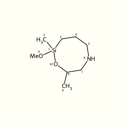 CO[Si]1(C)CCCNCC(C)O1